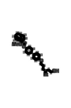 CCN(CCO)CCCOc1ccc([C@H]2CC[C@@H](OOC3(OC)C4CC5CC(C4)CC3C5)CC2)cc1